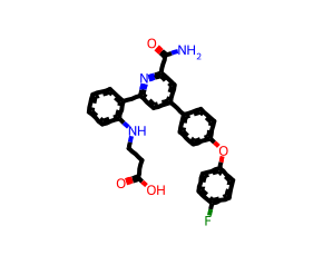 NC(=O)c1cc(-c2ccc(Oc3ccc(F)cc3)cc2)cc(-c2ccccc2NCCC(=O)O)n1